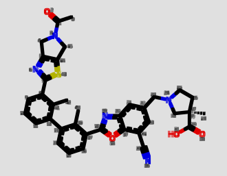 CC(=O)N1Cc2nc(-c3cccc(-c4cccc(-c5nc6cc(CN7CC[C@@](C)(C(=O)O)C7)cc(C#N)c6o5)c4C)c3C)sc2C1